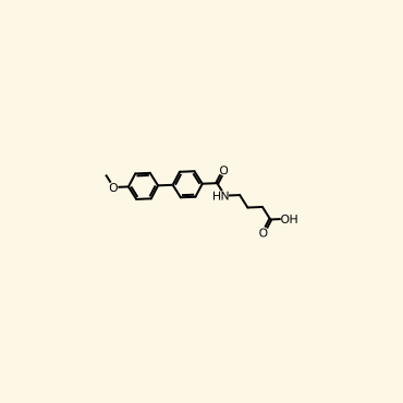 COc1ccc(-c2ccc(C(=O)NCCCC(=O)O)cc2)cc1